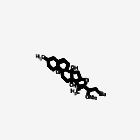 CCC(C)CC(OC)C1=C(C)C2C(CC3(O)C4CC=C5CC(C)CCC5(C)C4CCC23C)O1